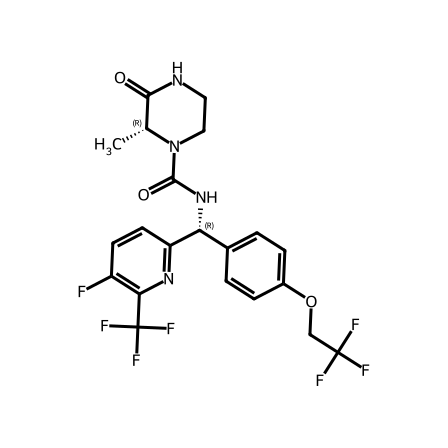 C[C@@H]1C(=O)NCCN1C(=O)N[C@H](c1ccc(OCC(F)(F)F)cc1)c1ccc(F)c(C(F)(F)F)n1